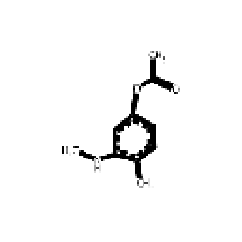 CNc1cc(OC(C)=O)ccc1C